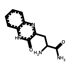 NC(=O)C(N)Cc1nc2ccccc2[nH]c1=O